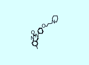 Cc1ccc2nc(=O)n(-c3ccc(OCCCN4CCCCC4)cc3)cc2c1